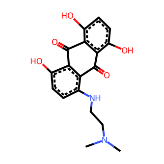 CN(C)CCNc1ccc(O)c2c1C(=O)c1c(O)ccc(O)c1C2=O